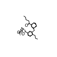 CCCCC(=O)c1cccc(Cc2cc(C(C)OP(C)(=O)N3CC3)ccc2CCC)c1